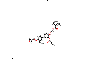 C=CC(=O)OC1C=C(c2ccc(OCC3COC3)c(OC)c2)C=CC1OCCOC(=O)C(=C)COC